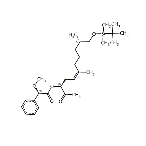 CO[C@@H](C(=O)O[C@@H](C/C=C(/C)CCC[C@H](C)CO[Si](C)(C)C(C)(C)C)C(C)=O)c1ccccc1